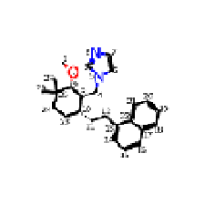 CO[C@@H]1[C@@H](Cn2ccnc2)[C@H](CCc2cccc3ccccc23)CCC1(C)C